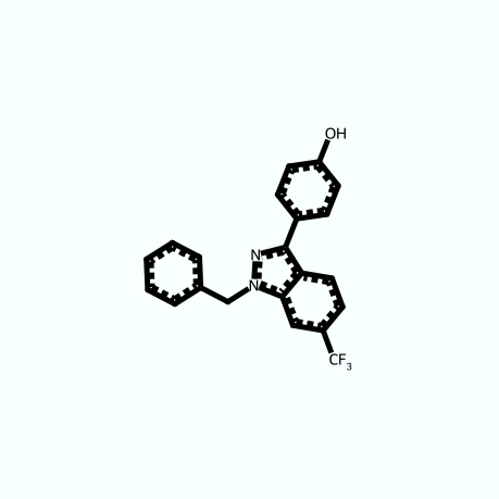 Oc1ccc(-c2nn(Cc3ccccc3)c3cc(C(F)(F)F)ccc23)cc1